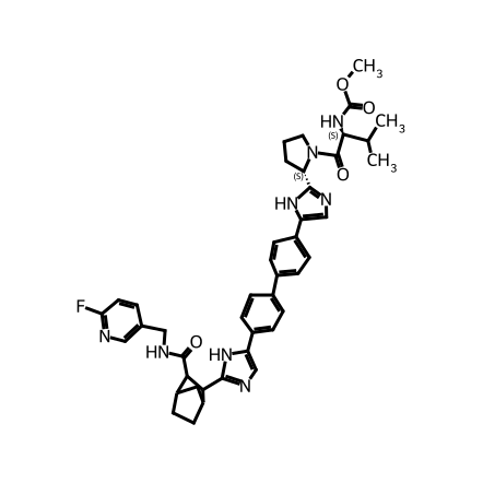 COC(=O)N[C@H](C(=O)N1CCC[C@H]1c1ncc(-c2ccc(-c3ccc(-c4cnc(C5C6CCC(C6)C5C(=O)NCc5ccc(F)nc5)[nH]4)cc3)cc2)[nH]1)C(C)C